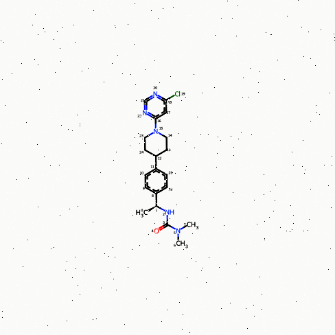 C[C@H](NC(=O)N(C)C)c1ccc(C2CCN(c3cc(Cl)ncn3)CC2)cc1